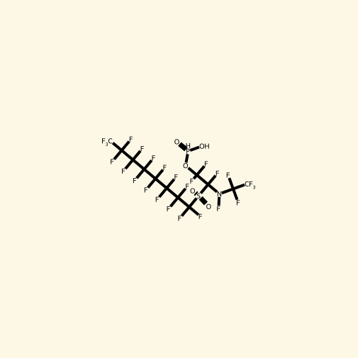 O=[PH](O)OC(F)(F)C(F)(N(F)C(F)(F)C(F)(F)F)S(=O)(=O)C(F)(F)C(F)(F)C(F)(F)C(F)(F)C(F)(F)C(F)(F)C(F)(F)C(F)(F)F